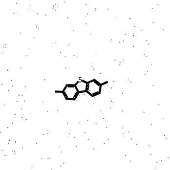 Cc1ccc2c(c1)sc1cc(C)ccc12